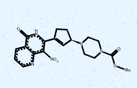 CC(C)(C)OC(=O)N1CCN([C@H]2C=C(c3[nH]c(=O)c4cccnc4c3[N+](=O)[O-])CC2)CC1